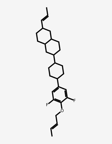 CC=CCOc1c(F)cc(C2CCC(C3CCC4CC(C=CC)CCC4C3)CC2)cc1F